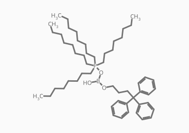 CCCCCCCCP(CCCCCCCC)(CCCCCCCC)(CCCCCCCC)OB(O)OCCCC(c1ccccc1)(c1ccccc1)c1ccccc1